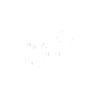 CCC(C)(CCC(C)(CC)C(=O)OC1C2CC3C(=O)OC1C3O2)C(=O)OC1C2CC3C(=O)OC1C3O2